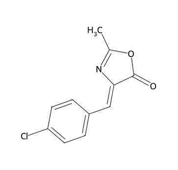 CC1=N/C(=C\c2ccc(Cl)cc2)C(=O)O1